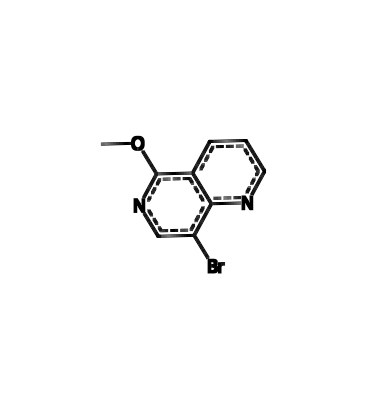 COc1ncc(Br)c2ncccc12